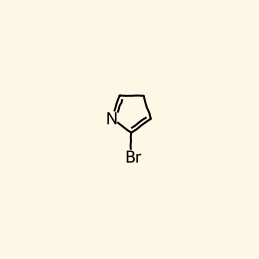 BrC1=CCC=N1